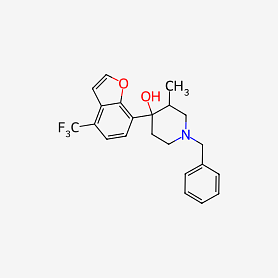 CC1CN(Cc2ccccc2)CCC1(O)c1ccc(C(F)(F)F)c2ccoc12